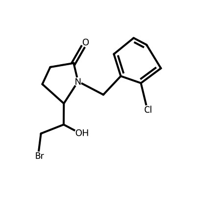 O=C1CCC(C(O)CBr)N1Cc1ccccc1Cl